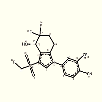 N#Cc1ccc(-n2cc(S(=O)(=O)CF)c3c2CCC(F)(F)[C@H]3O)cc1C(F)(F)F